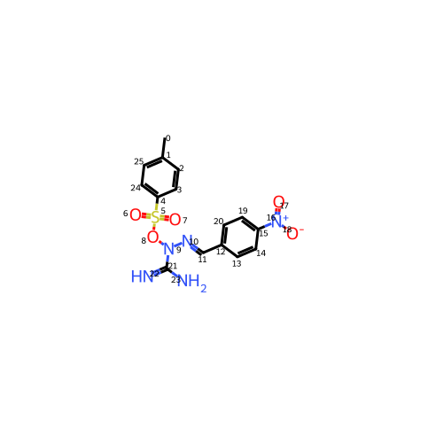 Cc1ccc(S(=O)(=O)ON(N=Cc2ccc([N+](=O)[O-])cc2)C(=N)N)cc1